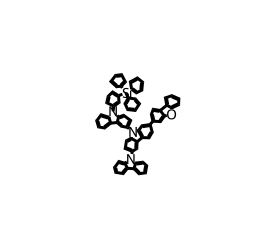 c1ccc([Si](c2ccccc2)(c2ccccc2)c2cccc(-n3c4ccccc4c4cc(-n5c6ccc(-n7c8ccccc8c8ccccc87)cc6c6ccc(-c7ccc8c(c7)oc7ccccc78)cc65)ccc43)c2)cc1